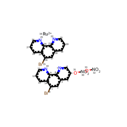 Brc1cc2cccnc2c2ncccc12.Brc1cc2cccnc2c2ncccc12.O=[N+]([O-])[O-].O=[N+]([O-])[O-].[Ru+2]